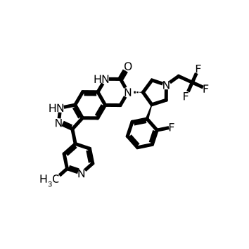 Cc1cc(-c2n[nH]c3cc4c(cc23)CN([C@@H]2CN(CC(F)(F)F)C[C@H]2c2ccccc2F)C(=O)N4)ccn1